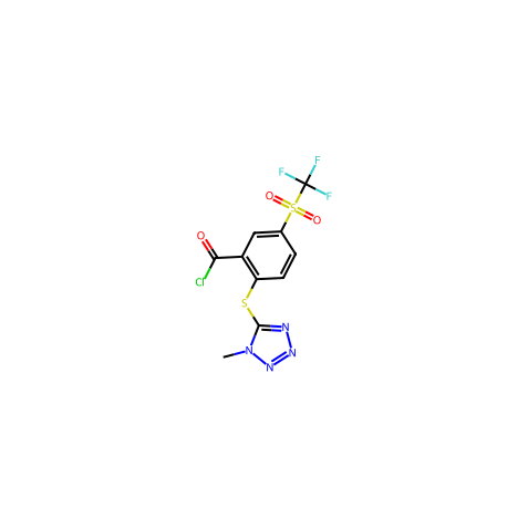 Cn1nnnc1Sc1ccc(S(=O)(=O)C(F)(F)F)cc1C(=O)Cl